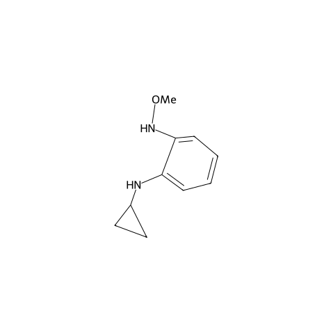 CONc1ccccc1NC1CC1